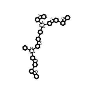 c1ccc(-c2nc(-c3ccc4c(c3)sc3ccc(-c5cccc6c5oc5ccccc56)cc34)nc(-c3ccc4sc5cc(-c6ccc(-c7nc(-c8ccc9c(c8)sc8ccc(-c%10cccc%11c%10oc%10ccccc%10%11)cc89)nc(-c8cccc9sc%10ccccc%10c89)n7)cc6)ccc5c4c3)n2)cc1